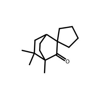 CC1(C)CC2CCC1(C)C(=O)C21CCCC1